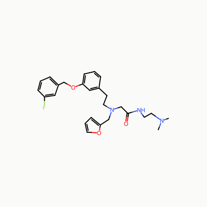 CN(C)CCNC(=O)CN(CCc1cccc(OCc2cccc(F)c2)c1)Cc1ccco1